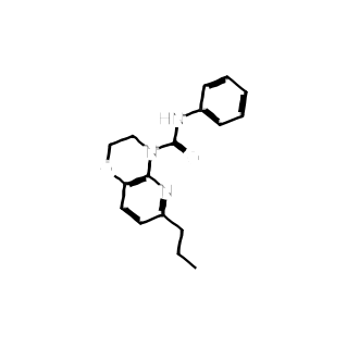 CCCc1ccc2c(n1)N(C(=O)Nc1ccccc1)CCO2